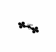 COc1cc(C=Cc2ccc(C(=C(c3ccccc3)c3ccccc3)c3ccccc3)cc2)c(OC)cc1C=Cc1ccc(C(=C(c2ccccc2)c2ccccc2)c2ccccc2)cc1